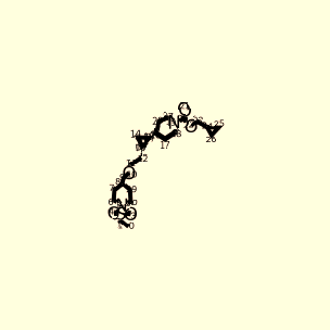 CCS(=O)(=O)N1CCC(COCC[C@@H]2C[C@@H]2C2CCN(C(=O)OCC3CC3)CC2)CC1